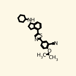 CC(C)Oc1ccc(-c2ncc(-c3cccc4c3CC[C@@H]4NC3CCCCC3)s2)cc1C#N